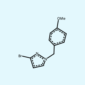 COc1ccc(Cn2[c]cc(Br)n2)cc1